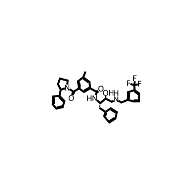 Cc1cc(C(=O)N[C@@H](Cc2ccccc2)[C@@H](O)CNCc2cccc(C(F)(F)F)c2)cc(C(=O)N2CCCC2c2ccccc2)c1